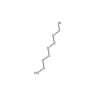 CC(C)COOOOOOO